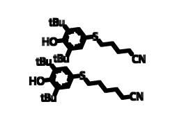 CC(C)(C)c1cc(SCCCCC#N)cc(C(C)(C)C)c1O.CC(C)(C)c1cc(SCCCCCC#N)cc(C(C)(C)C)c1O